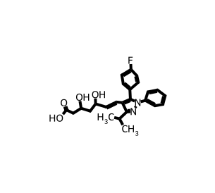 CC(C)c1nn(-c2ccccc2)c(-c2ccc(F)cc2)c1C=CC(O)CC(O)CC(=O)O